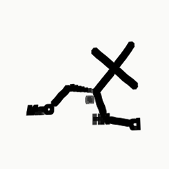 COC[C@@H](NCl)C(C)(C)C